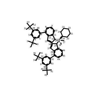 CC(C)(C)c1cc(-c2cccc3c2C=C[CH]3[Hf]([CH3])([CH3])(=[C]2CCCCC2)[CH]2C=Cc3c(-c4cc(C(C)(C)C)cc(C(C)(C)C)c4)cccc32)cc(C(C)(C)C)c1